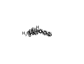 C=Cn1c(C(=O)N(C)C)cc2cnc(Nc3ccc(N4CCC(N5CCOCC5)CC4)cc3)nc21